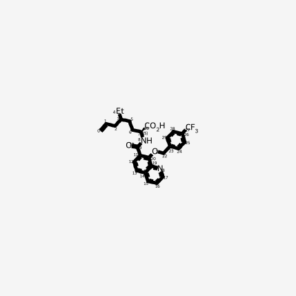 C=CCC(CC)CC[C@H](NC(=O)c1ccc2cccnc2c1OCc1ccc(C(F)(F)F)cc1)C(=O)O